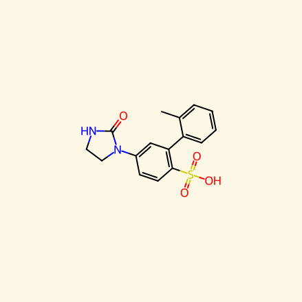 Cc1ccccc1-c1cc(N2CCNC2=O)ccc1S(=O)(=O)O